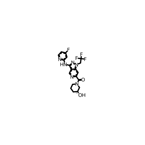 O=C(c1cc2c(cn1)c(Nc1cc(F)ccn1)nn2CC(F)(F)F)N1CCC[C@H](O)C1